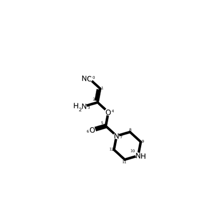 N#C/C=C(\N)OC(=O)N1CCNCC1